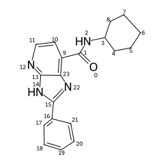 O=C(NC1CCCCC1)c1ccnc2[nH]c(-c3ccccc3)nc12